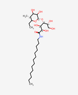 CCCCCCCCCCCCCCNC(=O)[C@H](O)[C@@H](O)[C@H](O[C@@H]1OC(CC)[C@H](C)C(O)C1O)[C@H](O)CO